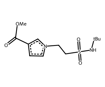 COC(=O)c1ccn(CCS(=O)(=O)NC(C)(C)C)c1